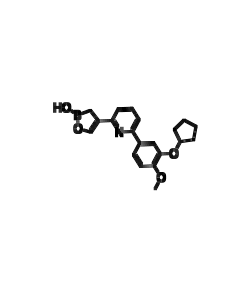 COc1ccc(-c2cccc(C3=COB(O)C3)n2)cc1OC1CCCC1